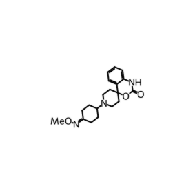 CON=C1CCC(N2CCC3(CC2)OC(=O)Nc2ccccc23)CC1